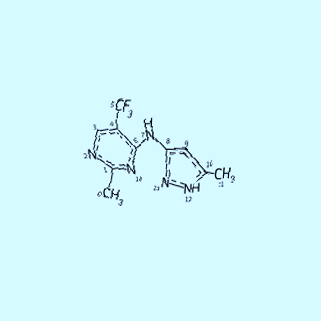 Cc1ncc(C(F)(F)F)c(Nc2cc(C)[nH]n2)n1